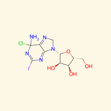 NC1(Cl)N=C(I)N=C2C1=NCN2[C@@H]1O[C@H](CO)[C@@H](O)[C@H]1O